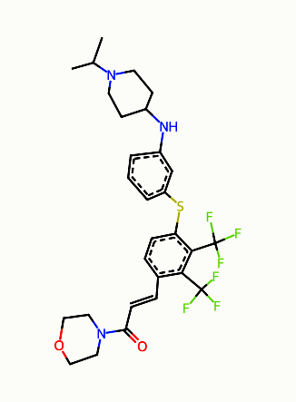 CC(C)N1CCC(Nc2cccc(Sc3ccc(C=CC(=O)N4CCOCC4)c(C(F)(F)F)c3C(F)(F)F)c2)CC1